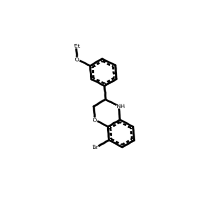 CCOc1cccc(C2COc3c(Br)cccc3N2)c1